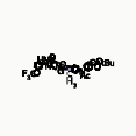 CC(=O)N(c1ccc(/C=C/S(=O)(=O)N2CCC3(CC2)N=C(c2cccc(OC(F)(F)F)c2)NC3=O)c(C)c1)C1CCN(OC(=O)OC(C)(C)C)CC1